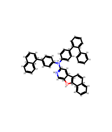 c1ccc(-c2ccccc2-c2ccc(N(c3ccc(-c4cccc5ccccc45)cc3)c3cc4c(cn3)oc3c5ccccc5ccc43)cc2)cc1